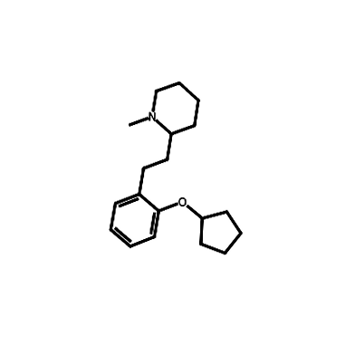 CN1CCCCC1CCc1ccccc1OC1CCCC1